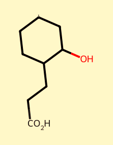 O=C(O)CCC1CC[CH]CC1O